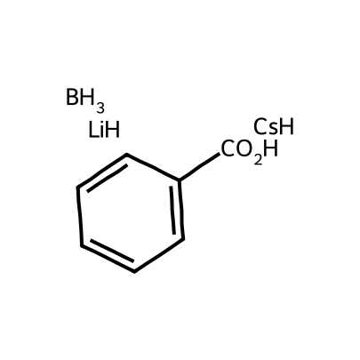 B.O=C(O)c1ccccc1.[CsH].[LiH]